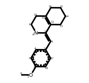 COc1ccc(/C=C2\[N]CCC3=C2CCCC3)cc1